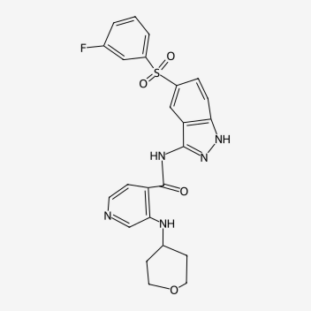 O=C(Nc1n[nH]c2ccc(S(=O)(=O)c3cccc(F)c3)cc12)c1ccncc1NC1CCOCC1